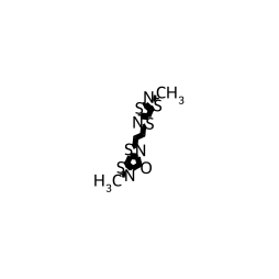 Cc1nc2c(s1)-c1sc(CCc3nc4sc5nc(C)sc5c4s3)nc1C2=O